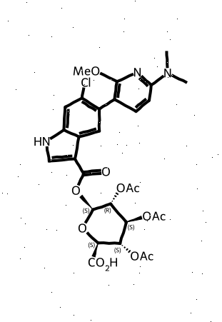 COc1nc(N(C)C)ccc1-c1cc2c(C(=O)O[C@@H]3O[C@H](C(=O)O)[C@@H](OC(C)=O)[C@H](OC(C)=O)[C@H]3OC(C)=O)c[nH]c2cc1Cl